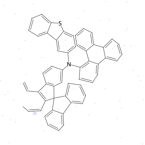 C=CC1=C(/C=C\C)C2(c3cc(N(c4ccc5sc6ccccc6c5c4)c4cccc5c6ccccc6c6ccccc6c45)ccc31)c1ccccc1-c1ccccc12